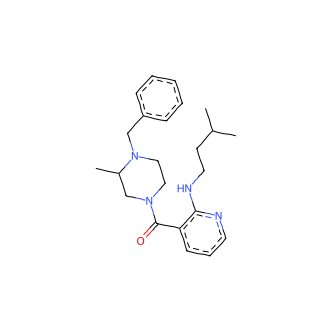 CC(C)CCNc1ncccc1C(=O)N1CCN(Cc2ccccc2)C(C)C1